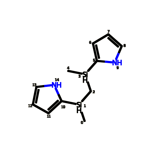 C[SiH](C[SiH](C)c1ccc[nH]1)c1ccc[nH]1